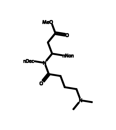 CCCCCCCCCCN(C(=O)CCCN(C)C)C(CCCCCCCCC)CC(=O)OC